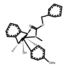 COc1ccc([C@@]2(O)C[C@@H]3c4ccccc4[C@@H]2C[C@@H]3N(C)C(=O)OCc2ccccc2)cc1